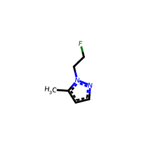 Cc1ccnn1CCF